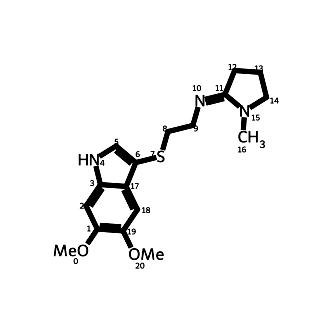 COc1cc2[nH]cc(SCCN=C3CCCN3C)c2cc1OC